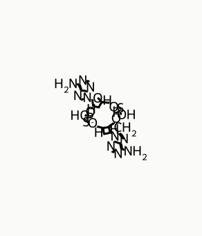 C=C1OP(O)(=S)OC[C@@H]2C[C@@H](OP(O)(=S)OC[C@H]3C[C@@H](n4cnc5c(N)ncnc54)[C@H]13)[C@H](n1cnc3c(N)ncnc31)O2